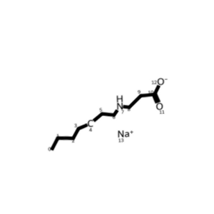 CCCCCCCNCCC(=O)[O-].[Na+]